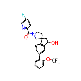 O=C(c1ccc(F)cn1)N1CCC2(CC(O)c3cc(-c4ccccc4OC(F)(F)F)ccc32)C1